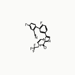 N#Cc1cc(F)ccc1-c1cc(-c2cnc3c(=O)n(CC(F)(F)F)ccn23)ccc1F